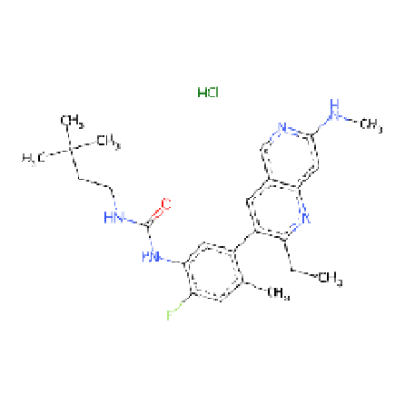 CCc1nc2cc(NC)ncc2cc1-c1cc(NC(=O)NCCC(C)(C)C)c(F)cc1C.Cl